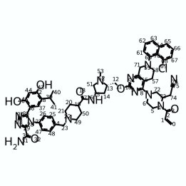 C=CC(=O)N1CCN(c2nc(OC[C@@H]3C[C@@H](NC(=O)C4CCN(Cc5ccc(-n6c(C(N)=O)nnc6-c6cc(C(C)C)c(O)cc6O)cc5)CC4)CN3C)nc3c2CCN(c2cccc4cccc(Cl)c24)C3)CC1CC#N